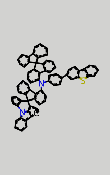 c1ccc2c(c1)-c1ccccc1C21c2ccccc2-c2c(N(c3ccc(-c4ccc5c(c4)sc4ccccc45)cc3)c3cccc4c3-c3ccccc3C43c4ccccc4-n4c5ccccc5c5cccc3c54)cccc21